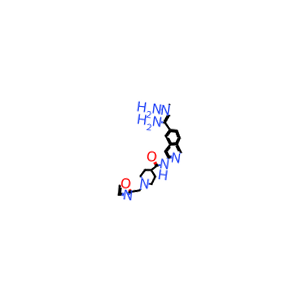 CN(N)/C=C(\N)c1ccc2cnc(NC(=O)C3CCN(Cc4ncco4)CC3)cc2c1